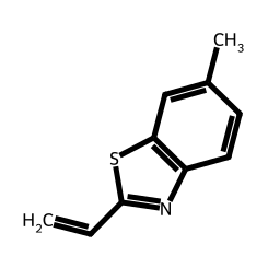 C=Cc1nc2ccc(C)cc2s1